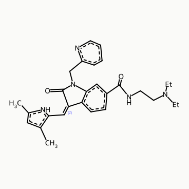 CCN(CC)CCNC(=O)c1ccc2c(c1)N(Cc1ccccn1)C(=O)/C2=C\c1[nH]c(C)cc1C